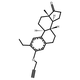 C#CCOc1cc2c(cc1CC)[C@H]1CC[C@]3(C)C(=O)CC[C@H]3[C@@H]1CC2